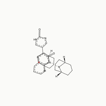 O=c1ncc(-c2nc3ccccc3n([C@H]3C[C@H]4CCC[C@@H](C3)N4[C@H]3C[C@@H]4CCC[C@@H](C4)C3)c2=O)c[nH]1